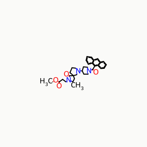 CCOC(=O)CCN1C(=O)C2(CCCN(C3CCN(C(=O)c4c5ccccc5cc5ccccc45)CC3)C2)CC1C